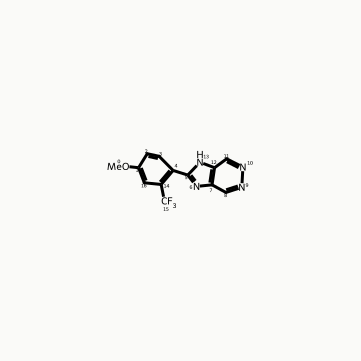 COc1ccc(-c2nc3cnncc3[nH]2)c(C(F)(F)F)c1